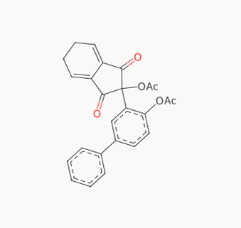 CC(=O)Oc1ccc(-c2ccccc2)cc1C1(OC(C)=O)C(=O)C2=CCCC=C2C1=O